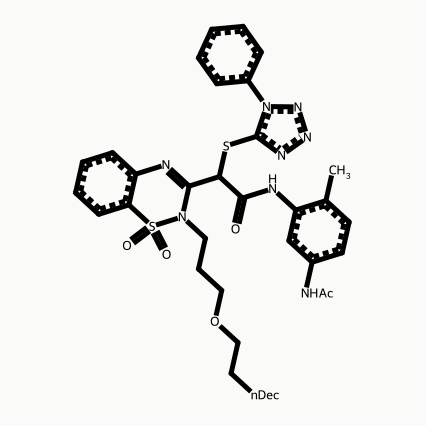 CCCCCCCCCCCCOCCCN1C(C(Sc2nnnn2-c2ccccc2)C(=O)Nc2cc(NC(C)=O)ccc2C)=Nc2ccccc2S1(=O)=O